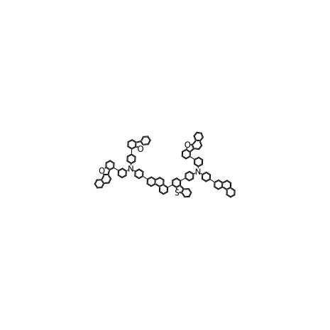 c1cc(-c2cccc3oc4c5ccccc5ccc4c23)cc(N(c2ccc(-c3ccc4c(ccc5c(-c6ccc(-c7ccc(N(c8ccc(-c9ccc%10c(ccc%11ccccc%11%10)c9)cc8)c8cccc(-c9cccc%10oc%11c%12ccccc%12ccc%11c9%10)c8)cc7)c7c6sc6ccccc67)cccc54)c3)cc2)c2ccc(-c3cccc4c3oc3ccccc34)cc2)c1